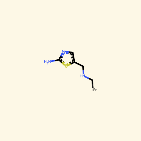 CC(C)CNCc1cnc(N)s1